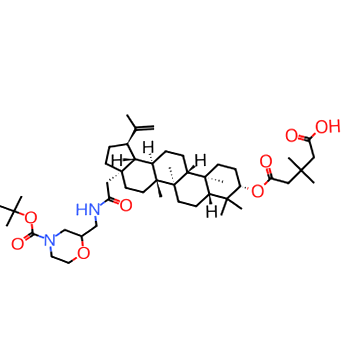 C=C(C)[C@@H]1CC[C@]2(CC(=O)NCC3CN(C(=O)OC(C)(C)C)CCO3)CC[C@]3(C)[C@H](CC[C@@H]4[C@@]5(C)CC[C@H](OC(=O)CC(C)(C)CC(=O)O)C(C)(C)[C@@H]5CC[C@]43C)[C@@H]12